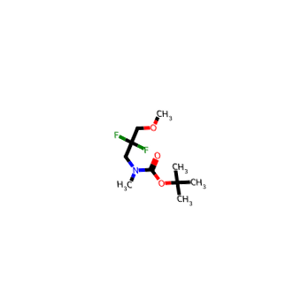 COCC(F)(F)CN(C)C(=O)OC(C)(C)C